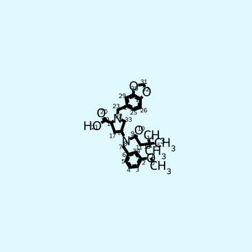 COc1cccc(CN(C(=O)CC(C)(C)C)C2CC(C(=O)O)N(Cc3ccc4c(c3)OCO4)C2)c1